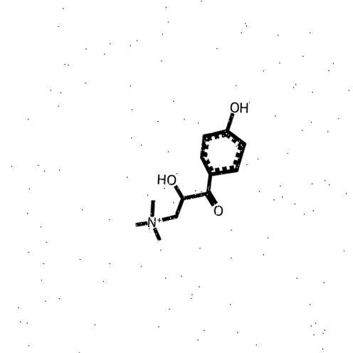 C[N+](C)(C)CC(O)C(=O)c1ccc(O)cc1